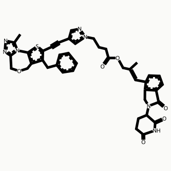 C/C(=C\c1cccc2c1CN(C1CCC(=O)NC1=O)C2=O)COC(=O)CCCn1cc(C#Cc2sc3c(c2Cc2ccccc2)COCc2nnc(C)n2-3)cn1